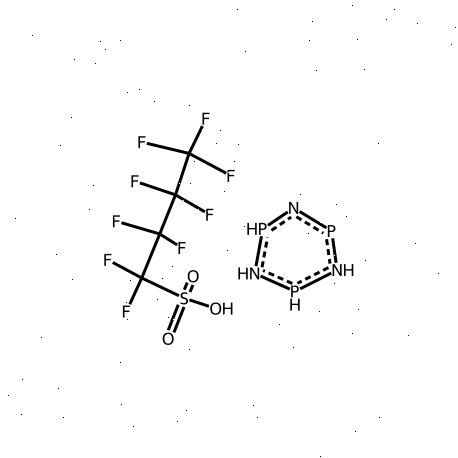 O=S(=O)(O)C(F)(F)C(F)(F)C(F)(F)C(F)(F)F.n1p[nH][pH][nH][pH]1